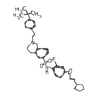 CC(C)(C)c1ccc(CCN2CCc3cc(S(=O)(=O)Nc4ccc(OCCC5CCCC5)cc4F)ccc3C2)cc1